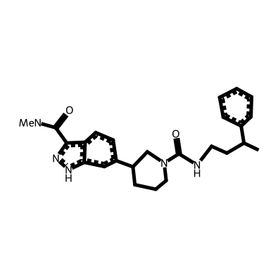 CNC(=O)c1n[nH]c2cc(C3CCCN(C(=O)NCCC(C)c4ccccc4)C3)ccc12